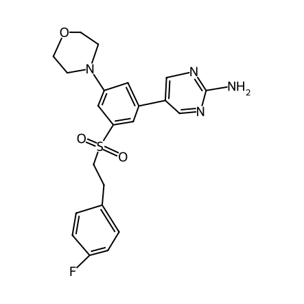 Nc1ncc(-c2cc(N3CCOCC3)cc(S(=O)(=O)CCc3ccc(F)cc3)c2)cn1